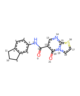 O=C(Nc1ccc2c(c1)CCC2)c1cnc2sccn2c1=O